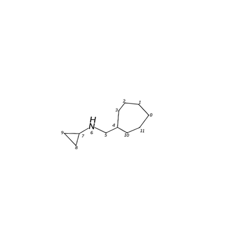 C1CCCC(CNC2CC2)CC1